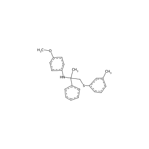 COc1ccc(NC(C)(CSc2cccc(C)c2)c2ccccc2)cc1